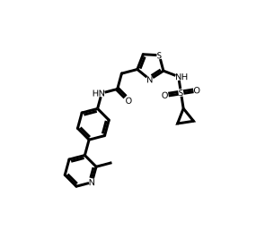 Cc1ncccc1-c1ccc(NC(=O)Cc2csc(NS(=O)(=O)C3CC3)n2)cc1